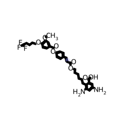 COc1cc(C(=O)Oc2ccc(/C=C/C(=O)OCCCCCCc3c(N)cc(N)cc3C(=O)O)cc2)ccc1OCCCCC(F)(F)F